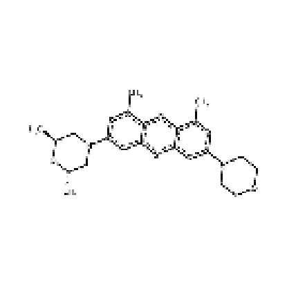 Cc1cc(N2CCOCC2)cc2[s+]c3cc(N4C[C@H](C)O[C@@H](C)C4)cc(C)c3nc12